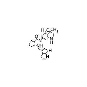 CC1(C)CCNc2cc(NC(=O)c3ccccc3NCc3c[nH]c4ncccc34)ccc21